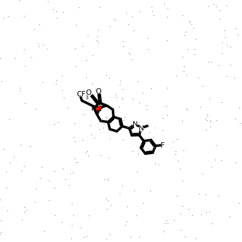 Cn1nc(C2=CC3=C(CC2)CC2CCC(C3)C23CN(CC(F)(F)F)S(=O)(=O)N3)cc1-c1cccc(F)c1